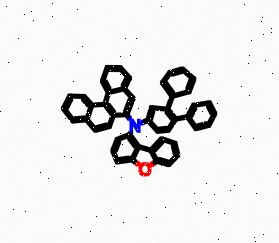 c1ccc(-c2ccc(N(c3cc4ccccc4c4c3ccc3ccccc34)c3cccc4oc5ccccc5c34)cc2-c2ccccc2)cc1